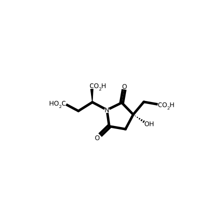 O=C(O)C[C@@H](C(=O)O)N1C(=O)C[C@](O)(CC(=O)O)C1=O